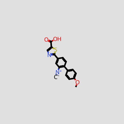 [C-]#[N+]c1cc(-c2ncc(C(=O)O)s2)ccc1-c1ccc(OC)cc1